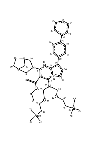 C=C(OCC)c1c(N2CC3CCC(C3)C2)nc2c(-c3ccc(-c4ccccc4)nc3)cnn2c1N(COCC[Si](C)(C)C)COCC[Si](C)(C)C